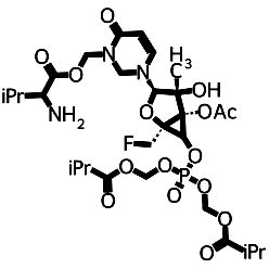 CC(=O)O[C@]12C(OP(=O)(OCOC(=O)C(C)C)OCOC(=O)C(C)C)[C@@]1(CF)O[C@@H](N1C=CC(=O)N(COC(=O)C(N)C(C)C)C1)[C@]2(C)O